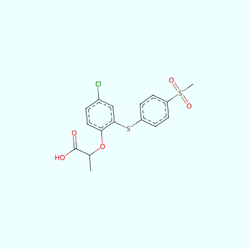 CC(Oc1ccc(Cl)cc1Sc1ccc(S(C)(=O)=O)cc1)C(=O)O